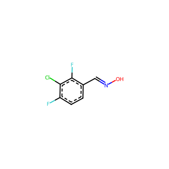 O/N=C/c1ccc(F)c(Cl)c1F